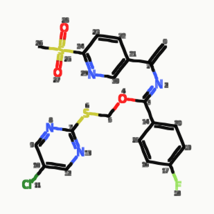 C=C(/N=C(\OCSc1ncc(Cl)cn1)c1ccc(F)cc1)c1ccc(S(C)(=O)=O)nc1